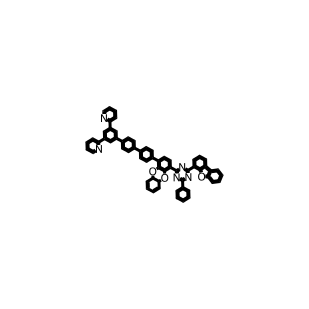 C1=CC2Oc3c(-c4ccc(-c5ccc(-c6cc(-c7ccccn7)cc(-c7ccccn7)c6)cc5)cc4)ccc(-c4nc(-c5ccccc5)nc(-c5cccc6c5oc5ccccc56)n4)c3OC2C=C1